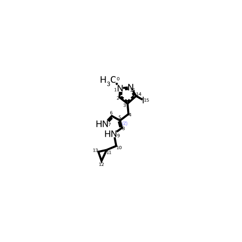 Cn1cc(C/C(C=N)=C/NCC2CC2)c(I)n1